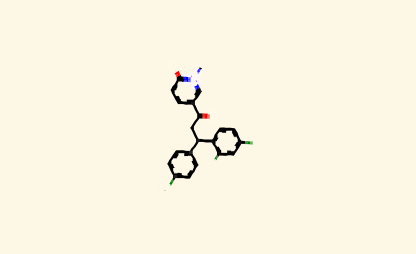 Cn1cc(C(=O)CC(c2ccc(Br)cc2)c2ccc(F)cc2F)ccc1=O